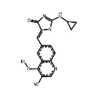 CCOc1c(C#N)cnc2ccc(/C=C3\SC(NC4CC4)=NC3=O)cc12